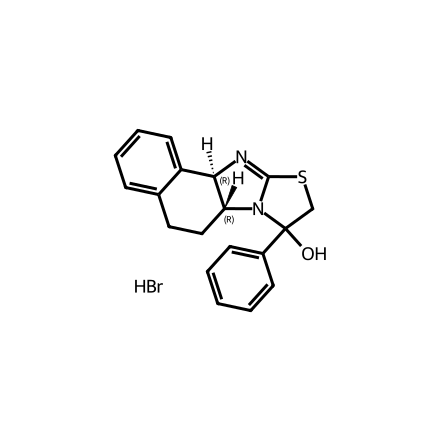 Br.OC1(c2ccccc2)CSC2=N[C@@H]3c4ccccc4CC[C@H]3N21